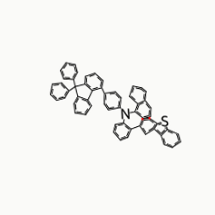 c1ccc(C2(c3ccccc3)c3ccccc3-c3c(-c4ccc(N(c5ccccc5-c5ccc6sc7ccccc7c6c5)c5cccc6ccccc56)cc4)cccc32)cc1